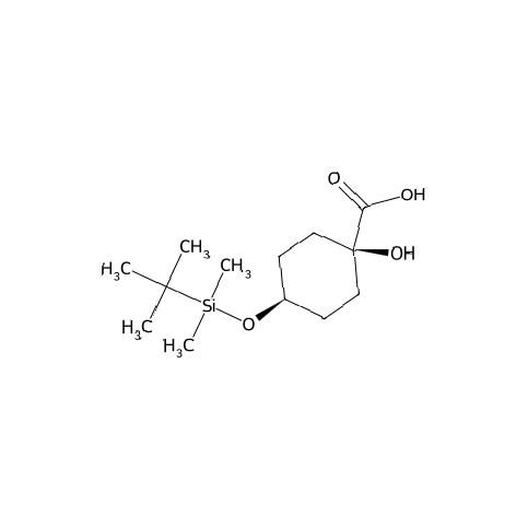 CC(C)(C)[Si](C)(C)O[C@H]1CC[C@](O)(C(=O)O)CC1